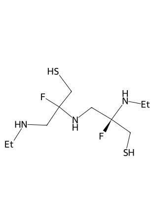 CCNCC(F)(CS)NC[C@@](F)(CS)NCC